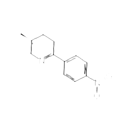 C[C@H]1CCC(c2ccc([N+](=O)[O-])cc2)=NC1